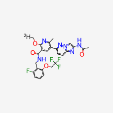 [2H]COc1nc(C)c(-c2ccc3nc(NC(C)=O)cn3n2)cc1C(=O)NCc1c(F)cccc1OCC(F)(F)F